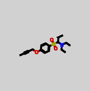 CC#CCOc1ccc(S(=O)(=O)C([CH]C)N(CC)CC)cc1